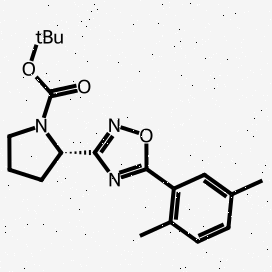 Cc1ccc(C)c(-c2nc([C@@H]3CCCN3C(=O)OC(C)(C)C)no2)c1